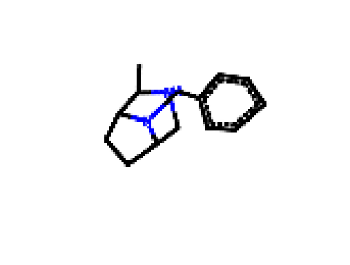 CC1NCC2CCC1N2Cc1ccccc1